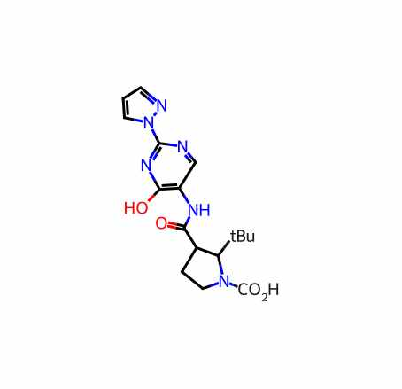 CC(C)(C)C1C(C(=O)Nc2cnc(-n3cccn3)nc2O)CCN1C(=O)O